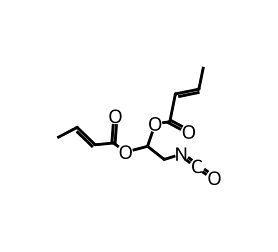 CC=CC(=O)OC(CN=C=O)OC(=O)C=CC